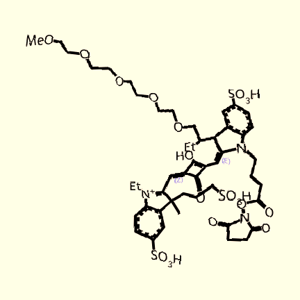 CCC(COCCOCCOCCOCCOC)C1/C(=C\C2=C(O)C(=C/C3=[N+](CC)c4ccc(S(=O)(=O)O)cc4C3(C)CCCS(=O)(=O)O)/C2=O)N(CCCC(=O)ON2C(=O)CCC2=O)c2ccc(S(=O)(=O)O)cc21